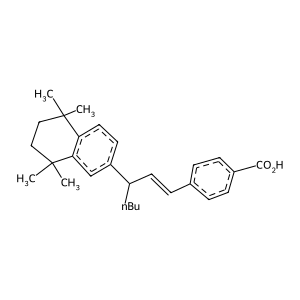 CCCCC(C=Cc1ccc(C(=O)O)cc1)c1ccc2c(c1)C(C)(C)CCC2(C)C